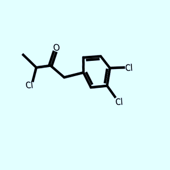 CC(Cl)C(=O)Cc1ccc(Cl)c(Cl)c1